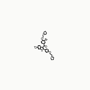 COc1ccc2c(C(=O)c3ccc(OCCN4CCCC4)c(Br)c3)c(-c3ccc(OCCN4CCCC4)cc3)sc2c1